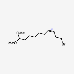 COC(CCCCC/C=C\CCBr)OC